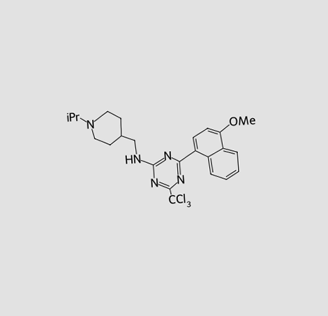 COc1ccc(-c2nc(NCC3CCN(C(C)C)CC3)nc(C(Cl)(Cl)Cl)n2)c2ccccc12